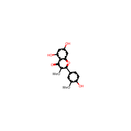 COc1cc(-c2oc3cc(O)cc(O)c3c(=O)c2OC)ccc1O